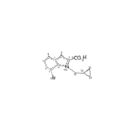 O=C(O)c1cc2cccc(Br)c2n1CC1CC1